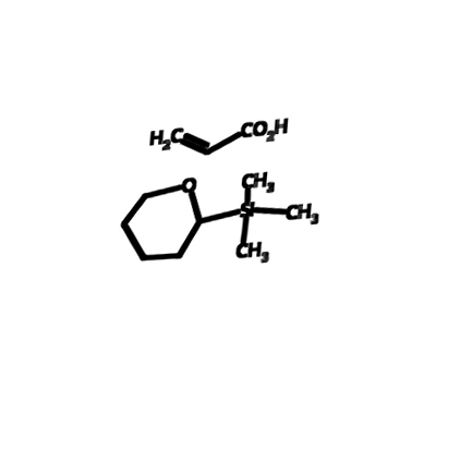 C=CC(=O)O.C[Si](C)(C)C1CCCCO1